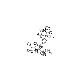 CCNC(=O)C(C)(C)c1ccc(NC(=O)[C@@H](NC(=O)c2ccnn2C)C(C2CCC2)C2(C)CC2)cc1